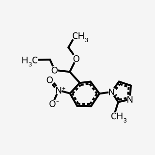 CCOC(OCC)c1cc(-n2ccnc2C)ccc1[N+](=O)[O-]